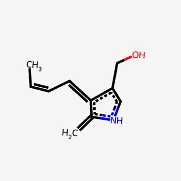 C=c1[nH]cc(CO)/c1=C/C=C\C